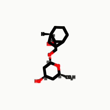 O=C(O)[C@@H]1C[C@H](O)C[C@H](OC[C@@]2(O)C3CCC[C@@H]2CC3)O1